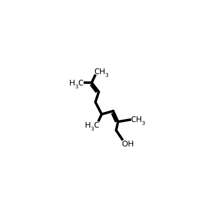 CC(C)=CCC(C)C=C(C)CO